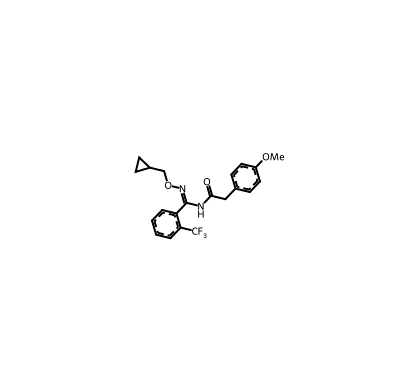 COc1ccc(CC(=O)NC(=NOCC2CC2)c2ccccc2C(F)(F)F)cc1